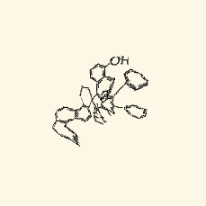 CCN(c1nc(-c2ccccc2)c(-c2ccccc2)o1)C1(c2cccc3c(O)cccc23)CCCc2c1ccc1c2ccc2ccccc21